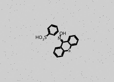 O=S(=O)(O)c1ccccc1.ON=c1c2ccccc2sc2ccccc12